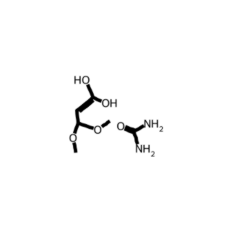 COC(C=C(O)O)OC.NC(N)=O